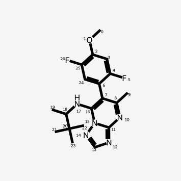 COc1cc(F)c(-c2c(C)nc3ncnn3c2NC(C)C(C)(C)C)cc1F